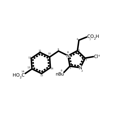 CCCCc1nc(Cl)c(CC(=O)O)n1Cc1ccc(C(=O)O)cc1